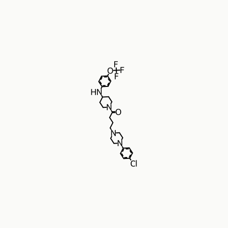 O=C(CCCN1CCN(c2ccc(Cl)cc2)CC1)N1CCC(Nc2ccc(OC(F)(F)F)cc2)CC1